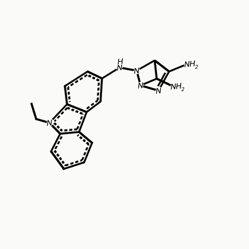 CCn1c2ccccc2c2cc(NN3C4C(N)=NN3C4N)ccc21